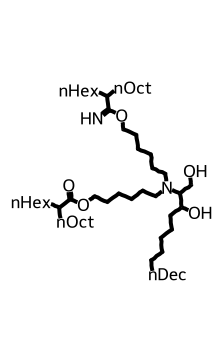 CCCCCCCCCCCCCCCC(O)C(CO)N(CCCCCCOC(=N)C(CCCCCC)CCCCCCCC)CCCCCCOC(=O)C(CCCCCC)CCCCCCCC